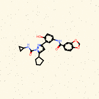 O=C(Nc1ccc(O)c(-c2cc(C3CCCC3)n(C(=O)NC3CC3)n2)c1)c1ccc2c(c1)OCO2